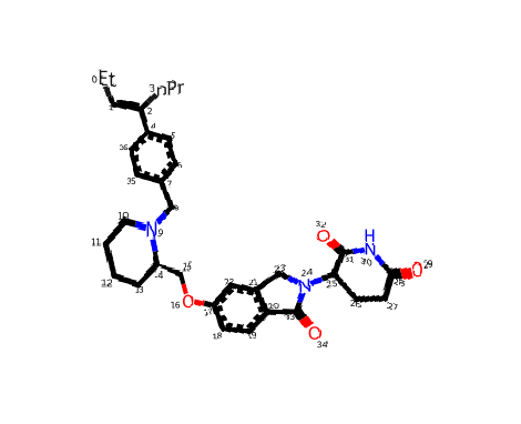 CC/C=C(\CCC)c1ccc(CN2CCCC[C@@H]2COc2ccc3c(c2)CN(C2CCC(=O)NC2=O)C3=O)cc1